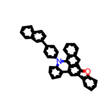 c1ccc(N(c2ccc(-c3ccc4ccccc4c3)cc2)c2cccc3ccccc23)c(-c2ccc3oc4ccccc4c3c2)c1